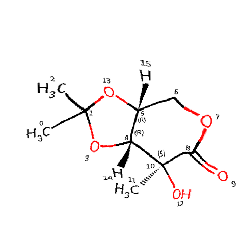 CC1(C)O[C@@H]2[C@@H](COC(=O)[C@@]2(C)O)O1